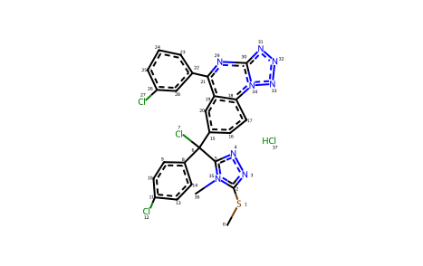 CSc1nnc(C(Cl)(c2ccc(Cl)cc2)c2ccc3c(c2)c(-c2cccc(Cl)c2)nc2nnnn23)n1C.Cl